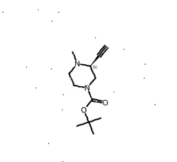 C#C[C@H]1CN(C(=O)OC(C)(C)C)CCN1C